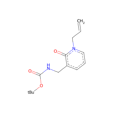 C=CCn1cccc(CNC(=O)OC(C)(C)C)c1=O